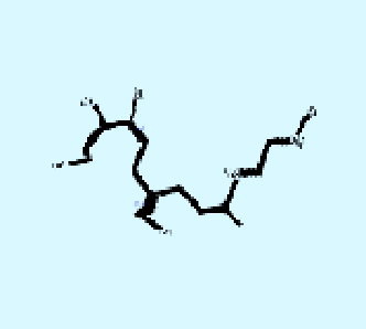 CCCC=C(CC)/C(=C\C/C(=C/CCC)CCC(C)NCCNCC)CC